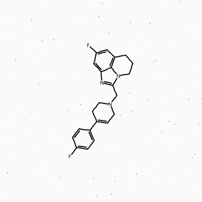 Fc1ccc(C2=CCN(Cc3nc4cc(F)cc5c4n3CCC5)CC2)cc1